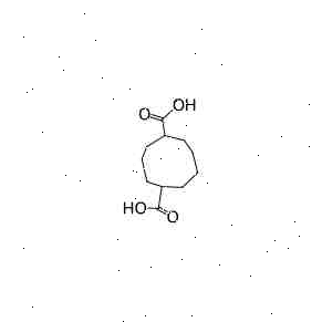 O=C(O)C1CCCCC(C(=O)O)CCC1